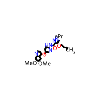 C=CCCOc1cn(CCC)nc1C(=O)Nc1ccc(Oc2ccnc3cc(OC)c(OC)cc23)cn1